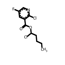 CCCCC(Cl)OC(=O)c1cc(F)cnc1Cl